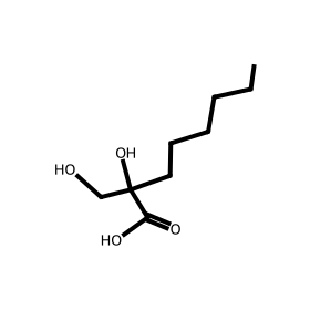 CCCCCCC(O)(CO)C(=O)O